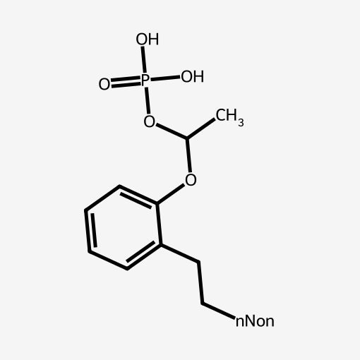 CCCCCCCCCCCc1ccccc1OC(C)OP(=O)(O)O